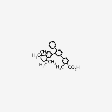 Cc1cc(-c2ccc(-c3ccccc3)c(-c3ccc4c(c3)C(C)(C)CCC4(C)C)c2)ccc1C(=O)O